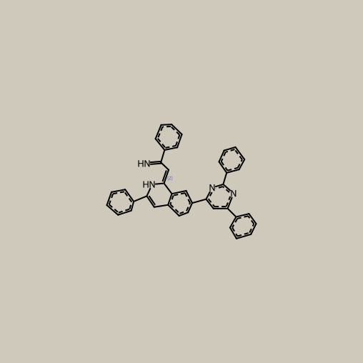 N=C(/C=C1\NC(c2ccccc2)=Cc2ccc(-c3cc(-c4ccccc4)nc(-c4ccccc4)n3)cc21)c1ccccc1